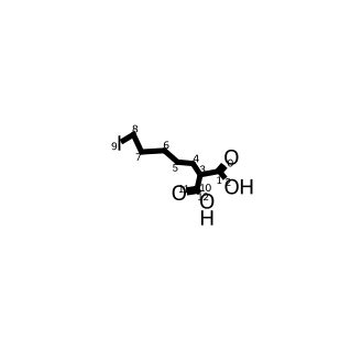 O=C(O)C(CCCCCI)C(=O)O